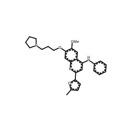 COc1cc2c(Nc3ccccc3)cc(-c3ccc(C)o3)nc2cc1OCCCN1CCCC1